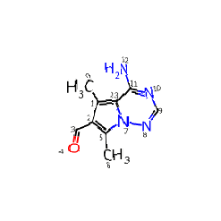 Cc1c(C=O)c(C)n2ncnc(N)c12